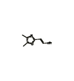 CCC/C=C/c1nc(C)c(C)o1